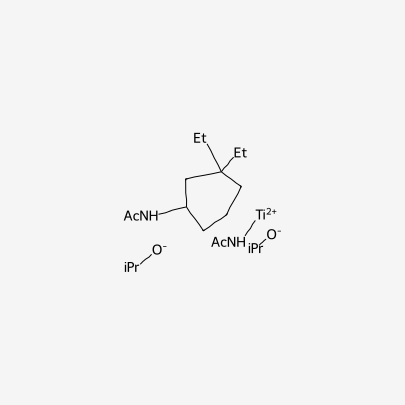 CC(=O)[NH][Ti+2].CC(C)[O-].CC(C)[O-].CCC1(CC)CCCC(NC(C)=O)C1